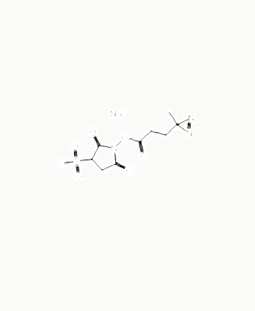 CC1(CCC(=O)ON2C(=O)CC(S(=O)(=O)[O-])C2=O)N=N1.[Na+]